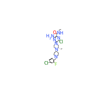 CCNC(=O)c1nc(Cl)c(N2CCN(C3CCN(Cc4ccc(Cl)cc4F)CC3)[C@@H](CC)C2)nc1N